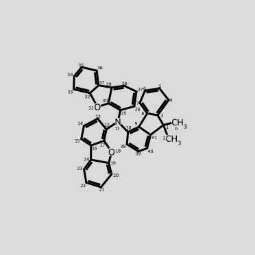 CC1(C)c2ccccc2-c2c(N(c3cccc4c3oc3ccccc34)c3cccc4c3oc3ccccc34)cccc21